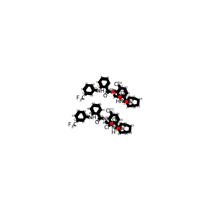 O=C(CNC(=O)c1ccccc1Nc1cccc(C(F)(F)F)c1)NC1CC2CCC(C1)N2Cc1ccc(Cl)c(Cl)c1.O=C(CNC(=O)c1ccccc1Nc1cccc(C(F)(F)F)c1)NC1CC2CCC(C1)N2Cc1ccc(Cl)cc1Cl